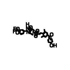 Cc1cc(C(=O)N2CCC(O)CC2)cc(C)c1C=CS(=O)(=O)N1CCC2(CC1)N=C(c1ccc3c(c1)OC(F)(F)O3)NC2=O